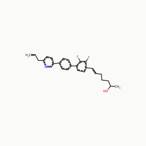 C=CCc1ccc(-c2ccc(-c3ccc(C=CCCCC(C)O)c(F)c3F)cc2)cn1